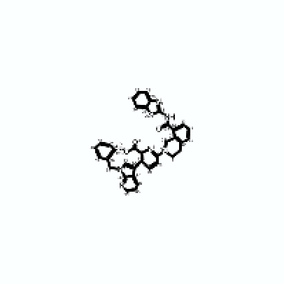 CC(C)(C)OC(=O)c1nc(N2CCc3cccc(C(=O)Nc4nc5ccccc5s4)c3C2)ccc1-c1cn(Cc2ccccc2)c2ncccc12